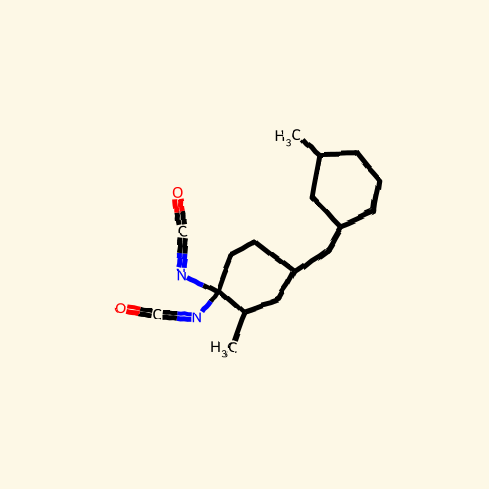 CC1CCCC(CC2CCC(N=C=O)(N=C=O)C(C)C2)C1